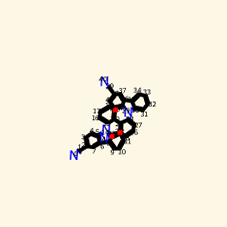 N#Cc1ccc2c(c1)c1ccccc1n2-c1ccccc1-c1c(C#N)cccc1-n1c2ccccc2c2cc(C#N)ccc21